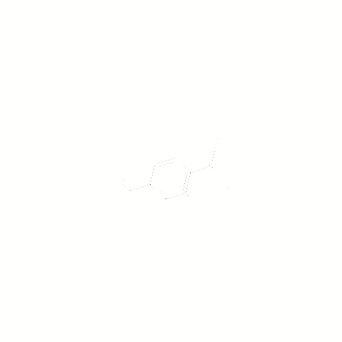 Br.C=Cc1ccc(N(C)C)cc1